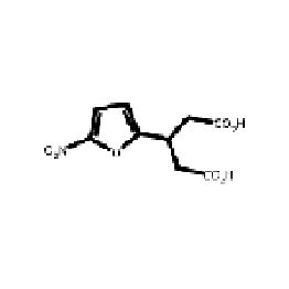 O=C(O)CC(CC(=O)O)c1ccc([N+](=O)[O-])o1